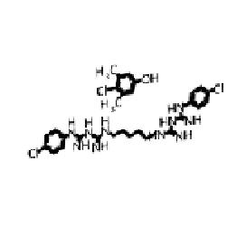 Cc1cc(O)cc(C)c1Cl.N=C(NCCCCCCNC(=N)NC(=N)Nc1ccc(Cl)cc1)NC(=N)Nc1ccc(Cl)cc1